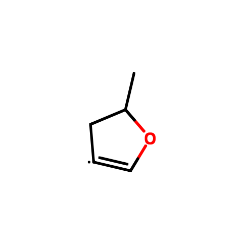 CC1C[C]=CO1